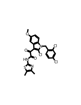 COc1ccc2c(c1)c(C(=O)C(=O)Nc1nc(C)c(C)s1)c(Cl)n2Cc1ccc(Cl)cc1Cl